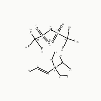 CC=C[N+](CC)(CC)C(C)C.O=S(=O)([N-]S(=O)(=O)C(F)(F)F)C(F)(F)F